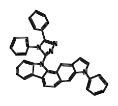 c1ccc(-c2nnc(-n3c4ccccc4c4ccc5cc6c(ccn6-c6ccccc6)cc5c43)n2-c2ccccc2)cc1